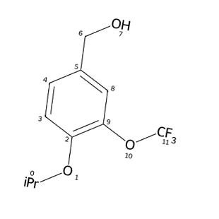 CC(C)Oc1ccc(CO)cc1OC(F)(F)F